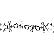 CC1=C(C)C(=O)N(c2ccc(C(=O)Nc3ccc(NC(=O)c4ccc(N5C(=O)C(C)=C(C)C5=O)cc4)cc3)cc2)C1=O